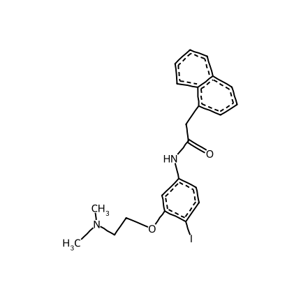 CN(C)CCOc1cc(NC(=O)Cc2cccc3ccccc23)ccc1I